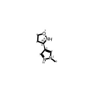 Cn1cc([C@H]2CCON2)cn1